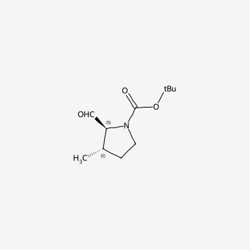 C[C@H]1CCN(C(=O)OC(C)(C)C)[C@@H]1C=O